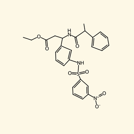 CCOC(=O)CC(NC(=O)C(C)c1ccccc1)c1cccc(NS(=O)(=O)c2cccc([N+](=O)[O-])c2)c1